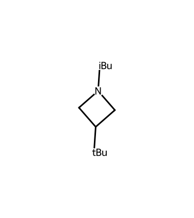 CCC(C)N1CC(C(C)(C)C)C1